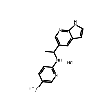 CC(Nc1ccc(C(=O)O)cn1)c1cnc2[nH]ccc2c1.Cl